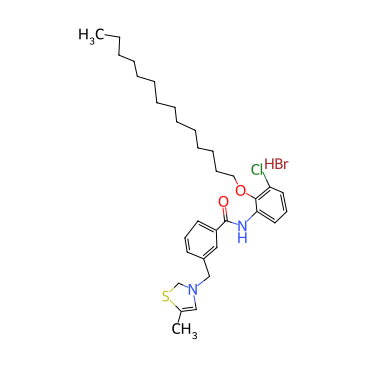 Br.CCCCCCCCCCCCCCOc1c(Cl)cccc1NC(=O)c1cccc(CN2C=C(C)SC2)c1